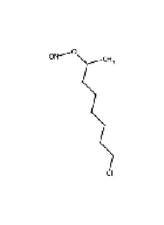 CC(CCCCCCCl)ON=O